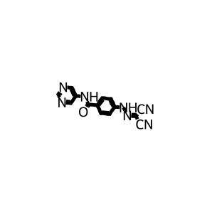 N#CC(C#N)=NNc1ccc(C(=O)Nc2cncnc2)cc1